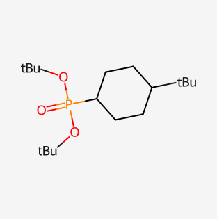 CC(C)(C)OP(=O)(OC(C)(C)C)C1CCC(C(C)(C)C)CC1